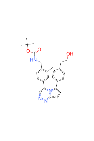 Cc1cc(-c2cnnc3ccc(-c4ccc(CCO)cc4)n23)ccc1CNC(=O)OC(C)(C)C